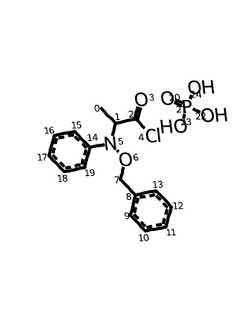 CC(C(=O)Cl)N(OCc1ccccc1)c1ccccc1.O=P(O)(O)O